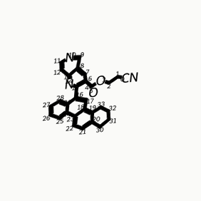 N#CCCOC(=O)c1cc2cnccc2nc1-c1cc2c3c(ccc2c2ccccc12)CCCC3